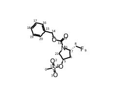 CS(=O)(=O)O[C@@H]1C[C@@H](CF)N(C(=O)OCc2ccccc2)C1